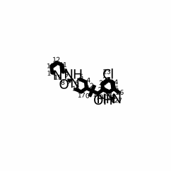 CC(C)(C1CCN(C(=O)Nc2ccccn2)CC1)C(O)c1cc(Cl)cc2cn[nH]c12